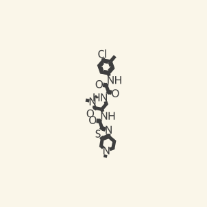 Cc1cc(NC(=O)C(=O)NCC(NC(=O)c2nc3c(s2)CN(C)CC3)C(=O)N(C)C)ccc1Cl